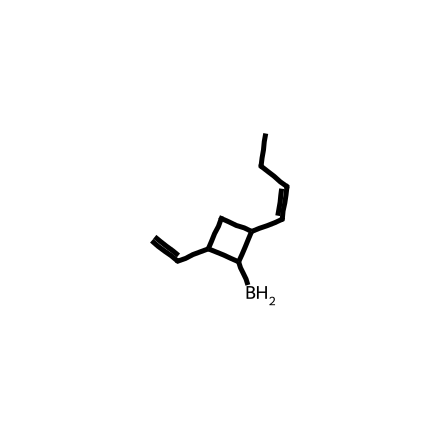 BC1C(C=C)CC1/C=C\CC